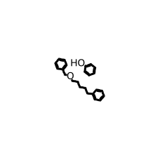 Oc1ccccc1.c1ccc(CCCCCOCc2ccccc2)cc1